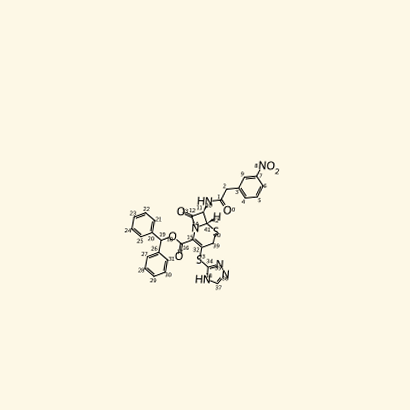 O=C(Cc1cccc([N+](=O)[O-])c1)N[C@@H]1C(=O)N2C(C(=O)OC(c3ccccc3)c3ccccc3)=C(Sc3nnc[nH]3)CS[C@@H]12